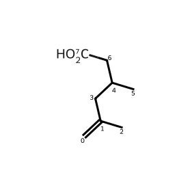 C=C(C)CC(C)CC(=O)O